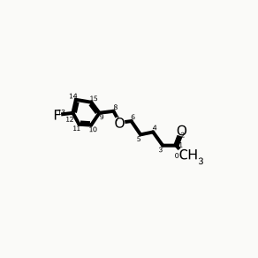 CC(=O)CCCCOCc1ccc(F)cc1